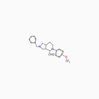 O=CC1C2CN(Cc3ccccc3)CC2CCN1c1ccc(OC(F)(F)F)cc1